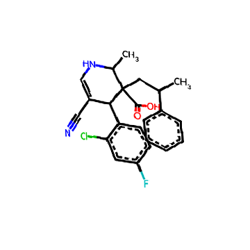 CC(CC1(C(=O)O)C(C)NC=C(C#N)C1c1ccc(F)cc1Cl)c1ccccc1